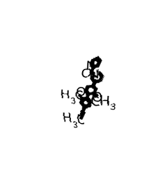 CC#Cc1cc(C)c(C2C(=O)CC(C3CCCN(C(=O)c4ccccn4)C3)CC2=O)c(C)c1